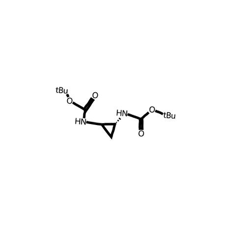 CC(C)(C)OC(=O)NC1C[C@H]1NC(=O)OC(C)(C)C